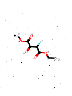 CCOC(=O)C(F)C(=O)C(=O)OC